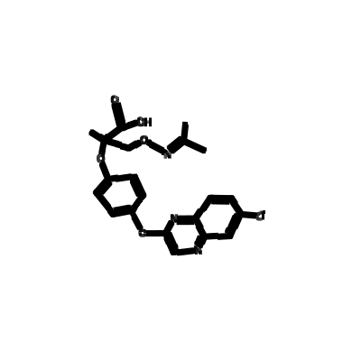 CC(C)=NOCC(C)(Oc1ccc(Oc2cnc3cc(Cl)ccc3n2)cc1)C(=O)O